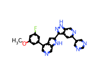 COc1cc(F)cc(-c2cncc3[nH]c(-c4n[nH]c5cnc(-c6cncnc6)cc45)cc23)c1